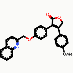 COc1ccc(C2=C(c3ccc(OCc4ccc5ccccc5n4)cc3)C(=O)OC2)cc1